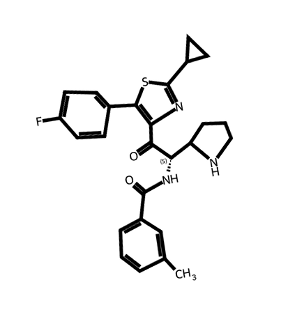 Cc1cccc(C(=O)N[C@H](C(=O)c2nc(C3CC3)sc2-c2ccc(F)cc2)C2CCCN2)c1